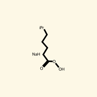 CC(C)CCCCC(=O)OO.[NaH]